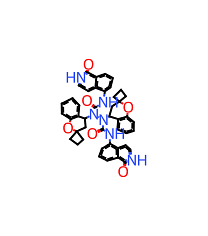 O=C(Nc1cccc2c(=O)[nH]ccc12)N(C1CC2(CCC2)Oc2ccccc21)N(C(=O)Nc1cccc2c(=O)[nH]ccc12)C1CC2(CCC2)Oc2ccccc21